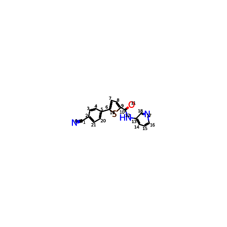 N#Cc1ccc(-c2ccc(C(=O)Nc3cccnc3)s2)cc1